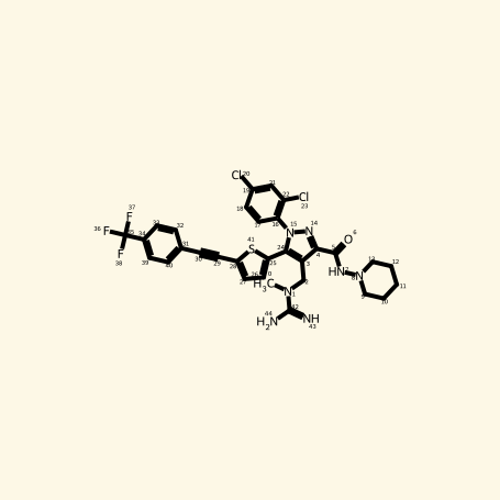 CN(Cc1c(C(=O)NN2CCCCC2)nn(-c2ccc(Cl)cc2Cl)c1-c1ccc(C#Cc2ccc(C(F)(F)F)cc2)s1)C(=N)N